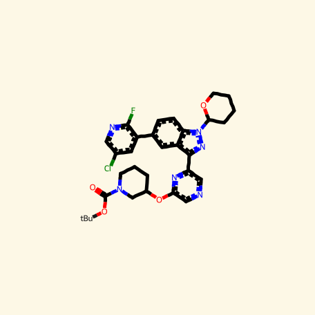 CC(C)(C)OC(=O)N1CCCC(Oc2cncc(-c3nn(C4CCCCO4)c4ccc(-c5cc(Cl)cnc5F)cc34)n2)C1